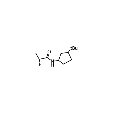 CC(F)C(=O)NC1CCC(C(C)(C)C)C1